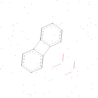 OPO.OPO.c1ccc2c(c1)-c1ccccc1-2